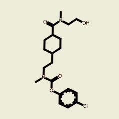 CN(CCC1CCC(C(=O)N(C)CCO)CC1)C(=O)Oc1ccc(Cl)cc1